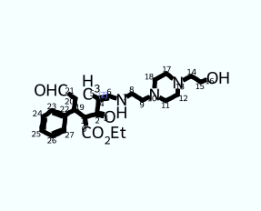 CCOC(=O)C(C(=O)/C(C)=C\NCCN1CCN(CCO)CC1)C(CC=O)c1ccccc1